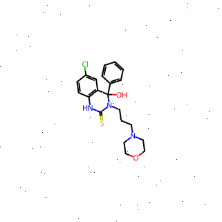 OC1(c2ccccc2)c2cc(Cl)ccc2NC(=S)N1CCCN1CCOCC1